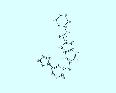 c1cc(-n2cncn2)cc(Oc2ccc3nc(NCC4CCCCC4)sc3c2)n1